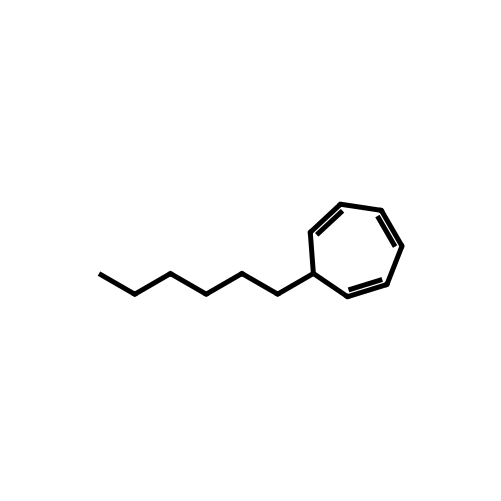 CCCCCCC1C=CC=CC=C1